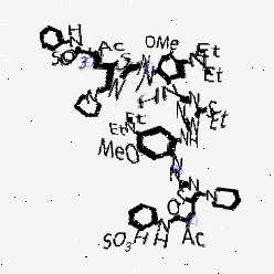 CCSc1nc(Nc2cc(N(CC)CC)c(OC)cc2/N=N/c2nc(N3CCCCC3)c(/C=C(/C(C)=O)C(=O)Nc3ccccc3S(=O)(=O)O)s2)nc(Nc2cc(N(CC)CC)c(OC)cc2/N=N/c2nc(N3CCCCC3)c(/C=C(\C(C)=O)C(=O)Nc3ccccc3S(=O)(=O)O)s2)n1